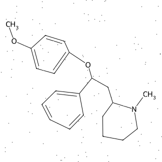 COc1ccc(OC(CC2CCCCN2C)c2ccccc2)cc1